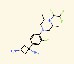 CC1CN(c2ccc(C3(N)CC(N)C3)cc2F)CC(C)N1C(F)C(F)F